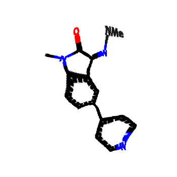 CNN=C1C(=O)N(C)c2ccc(-c3ccncc3)cc21